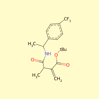 C=C(C(=O)OC(C)(C)C)C(C)C(=O)NC(C)c1ccc(C(F)(F)F)cc1